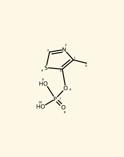 Cc1ncsc1OP(=O)(O)O